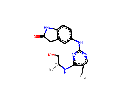 CC[C@H](CO)Nc1nc(Nc2ccc3c(c2)CC(=O)N3)ncc1C(F)(F)F